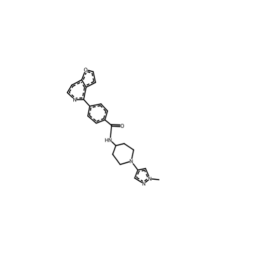 Cn1cc(N2CCC(NC(=O)c3ccc(-c4nccc5occc45)cc3)CC2)cn1